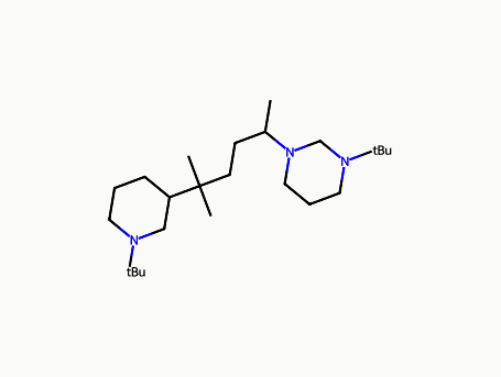 CC(CCC(C)(C)C1CCCN(C(C)(C)C)C1)N1CCCN(C(C)(C)C)C1